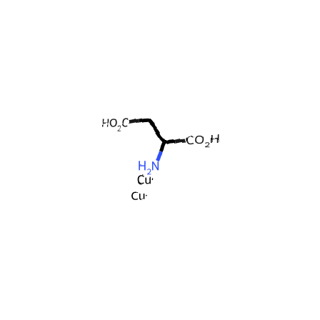 NC(CC(=O)O)C(=O)O.[Cu].[Cu]